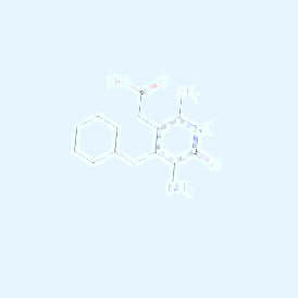 Cc1[nH]c(=O)c(N)c(CC2CCCCC2)c1CC(=O)O